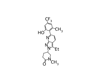 CCc1c2ccc(-c3c(C)cc(C(F)(F)F)cc3O)nc2nn1C1CCC(=O)N(C)C1